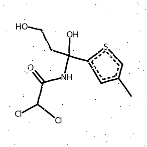 Cc1csc(C(O)(CCO)NC(=O)C(Cl)Cl)c1